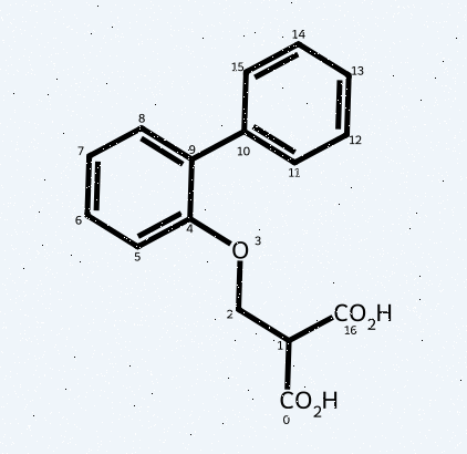 O=C(O)C(COc1ccccc1-c1ccccc1)C(=O)O